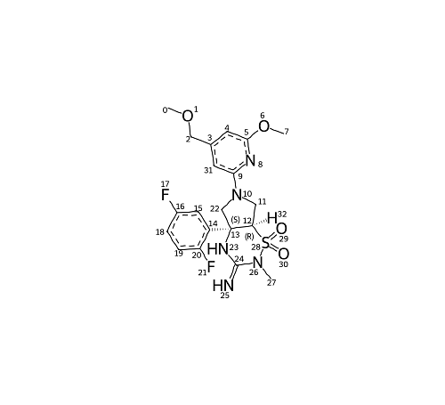 COCc1cc(OC)nc(N2C[C@@H]3[C@](c4cc(F)ccc4F)(C2)NC(=N)N(C)S3(=O)=O)c1